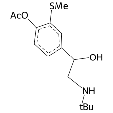 CSc1cc(C(O)CNC(C)(C)C)ccc1OC(C)=O